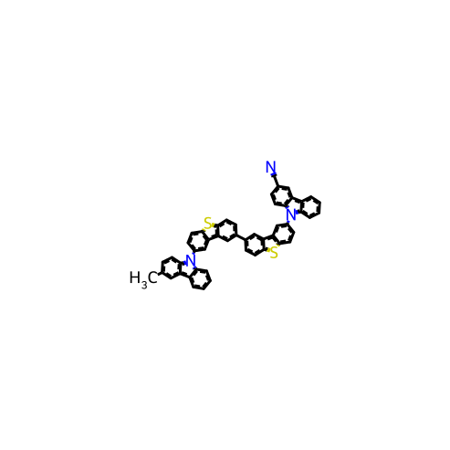 Cc1ccc2c(c1)c1ccccc1n2-c1ccc2sc3ccc(-c4ccc5sc6ccc(-n7c8ccccc8c8cc(C#N)ccc87)cc6c5c4)cc3c2c1